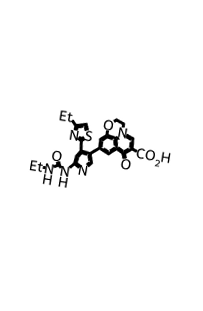 CCNC(=O)Nc1cc(-c2nc(CC)cs2)c(-c2cc3c4c(c2)c(=O)c(C(=O)O)cn4CCO3)cn1